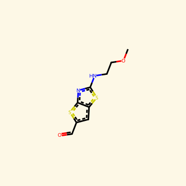 COCCNc1nc2sc(C=O)cc2s1